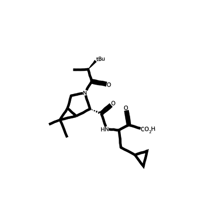 C[C@H](C(=O)N1CC2C([C@H]1C(=O)NC(CC1CC1)C(=O)C(=O)O)C2(C)C)C(C)(C)C